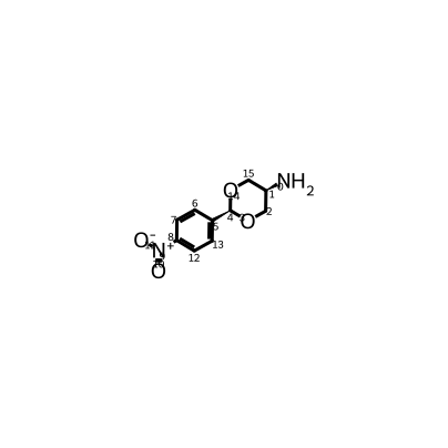 N[C@H]1CO[C@@H](c2ccc([N+](=O)[O-])cc2)OC1